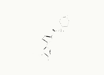 COc1cc(-c2ccc(C(=O)NN3CCN(C)CC3)s2)ccc1O